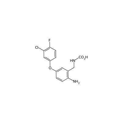 Nc1ccc(Oc2ccc(F)c(Cl)c2)cc1CNC(=O)O